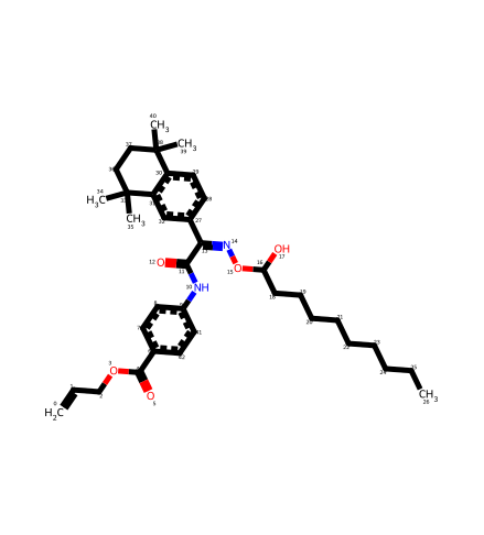 C=CCOC(=O)c1ccc(NC(=O)C(=NOC(O)CCCCCCCCC)c2ccc3c(c2)C(C)(C)CCC3(C)C)cc1